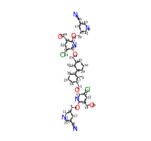 Cc1c(COc2nc(OCc3cncc(C#N)c3)c(C=O)cc2Cl)cccc1-c1cccc(COc2nc(OCc3cncc(C#N)c3)c(C=O)cc2Cl)c1C